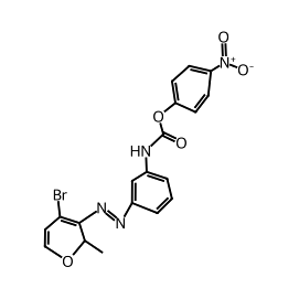 CC1OC=CC(Br)=C1N=Nc1cccc(NC(=O)Oc2ccc([N+](=O)[O-])cc2)c1